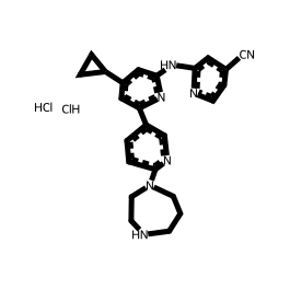 Cl.Cl.N#Cc1ccnc(Nc2cc(C3CC3)cc(-c3ccc(N4CCCNCC4)nc3)n2)c1